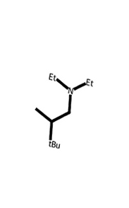 CCN(CC)CC(C)C(C)(C)C